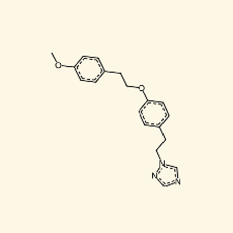 COc1ccc(CCOc2ccc(CCn3cncn3)cc2)cc1